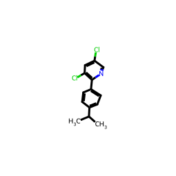 CC(C)c1ccc(-c2ncc(Cl)cc2Cl)cc1